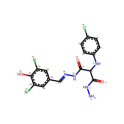 NNC(=O)C(Nc1ccc(Cl)cc1)C(=O)N/N=C/c1cc(Br)c(O)c(Br)c1